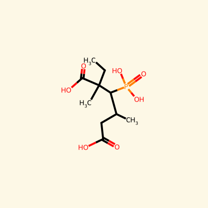 CCC(C)(C(=O)O)C(C(C)CC(=O)O)P(=O)(O)O